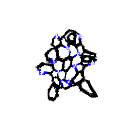 c1ccc(-c2cc(-c3ccccc3)nc(-c3c(-n4c5ccccc5c5ncccc54)c(-c4ccccn4)c(-n4c5ccccc5c5ncccc54)c(-n4c5ccccc5c5ncccc54)c3-n3c4ccccc4c4ncccc43)n2)cc1